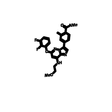 CNC(=O)c1ccc(-c2cnc3c(NCCOC)cc(Oc4cccc(F)c4F)nn23)cc1C